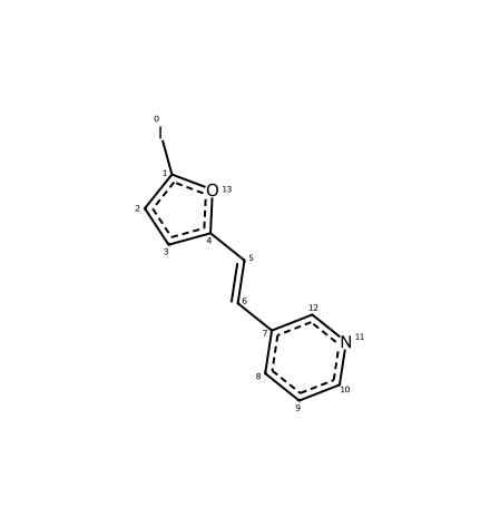 Ic1ccc(C=Cc2cccnc2)o1